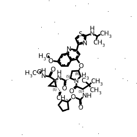 C=C[C@@H]1C[C@]1(NC(=O)[C@@H]1C[C@@H](Oc2cc(-c3csc(NC(C)C)n3)nc3cc(OC)ccc23)CN1C(=O)[C@@H](NC(=O)OC1CCCC1)C(C)(C)C)C(=O)NOC